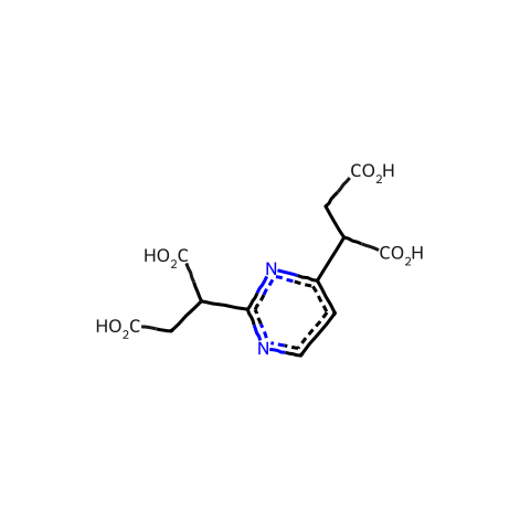 O=C(O)CC(C(=O)O)c1ccnc(C(CC(=O)O)C(=O)O)n1